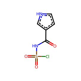 O=C(NS(=O)(=O)Cl)c1cc[nH]c1